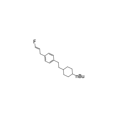 CCCCC1CCC(CCc2ccc(CC=CF)cc2)CC1